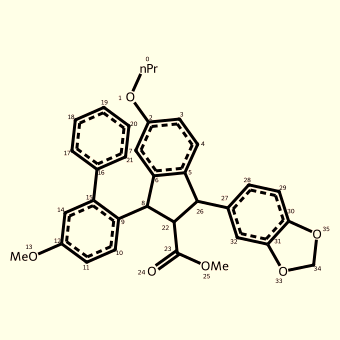 CCCOc1ccc2c(c1)C(c1ccc(OC)cc1-c1ccccc1)C(C(=O)OC)C2c1ccc2c(c1)OCO2